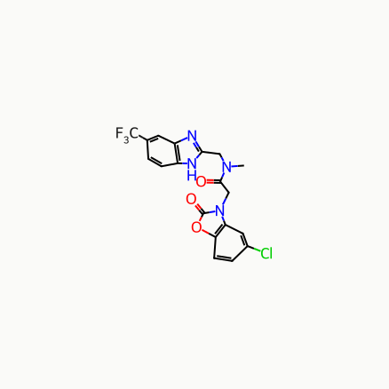 CN(Cc1nc2cc(C(F)(F)F)ccc2[nH]1)C(=O)Cn1c(=O)oc2ccc(Cl)cc21